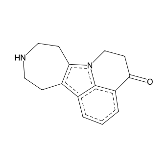 O=C1CCn2c3c(c4cccc1c42)CCNCC3